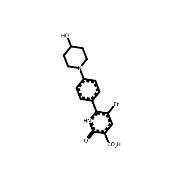 CCc1cc(C(=O)O)c(=O)[nH]c1-c1ccc(N2CCC(O)CC2)cc1